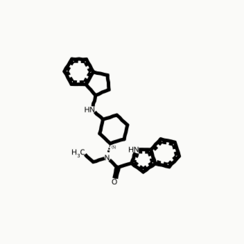 CCN(C(=O)c1cc2ccccc2[nH]1)[C@H]1CCCC(NC2CCc3ccccc32)C1